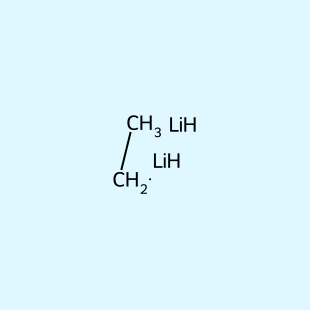 [CH2]C.[LiH].[LiH]